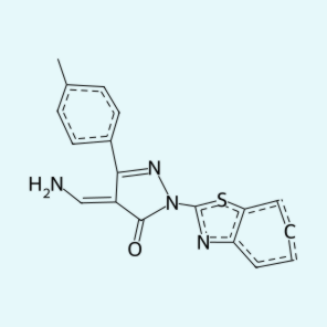 Cc1ccc(C2=NN(c3nc4ccccc4s3)C(=O)/C2=C/N)cc1